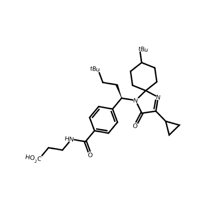 CC(C)(C)CC[C@H](c1ccc(C(=O)NCCC(=O)O)cc1)N1C(=O)C(C2CC2)=NC12CCC(C(C)(C)C)CC2